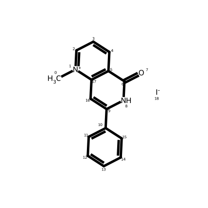 C[n+]1cccc2c(=O)[nH]c(-c3ccccc3)cc21.[I-]